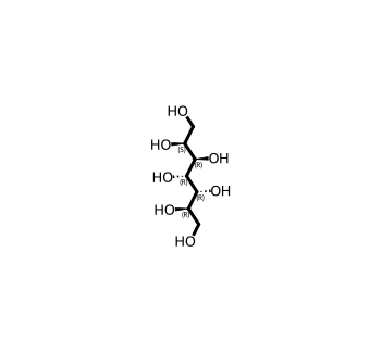 OC[C@@H](O)[C@@H](O)[C@H](O)[C@H](O)[C@@H](O)CO